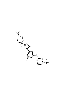 CC(=O)N1CCC(O)(c2ncc(-c3cc(C)cc(Nc4nccc(C(F)(F)F)n4)c3)s2)CC1